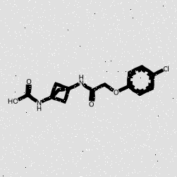 O=C(O)NC12CC(NC(=O)COc3ccc(Cl)cc3)(C1)C2